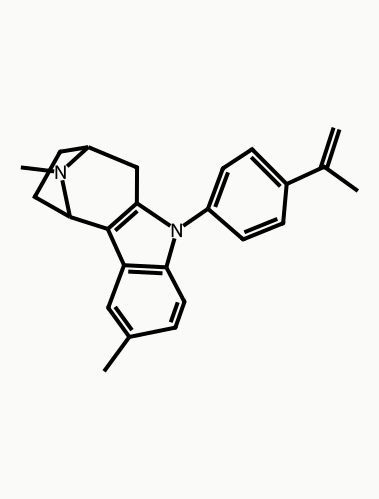 C=C(C)c1ccc(-n2c3c(c4cc(C)ccc42)C2CCC(C3)N2C)cc1